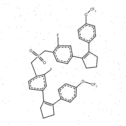 O=S(=O)(Cc1ccc(C2=C(c3ccc(OC(F)(F)F)cc3)CCC2)cc1F)Cc1ccc(C2=C(c3ccc(OC(F)(F)F)cc3)CCC2)cc1F